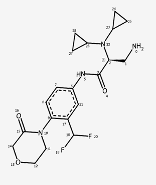 NC[C@@H](C(=O)Nc1ccc(N2CCOCC2=O)c(C(F)F)c1)N(C1CC1)C1CC1